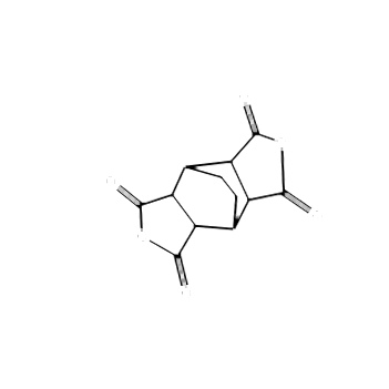 O=C1OC(=O)C2C3CCC(C12)C1C(=O)OC(=O)C31